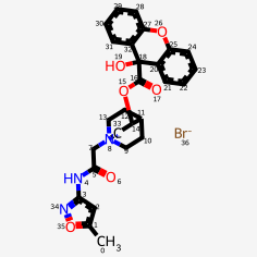 Cc1cc(NC(=O)C[N+]23CCC(CC2)C(OC(=O)C2(O)c4ccccc4Oc4ccccc42)C3)no1.[Br-]